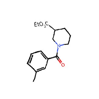 CCOC(=O)C1CCCN(C(=O)c2cccc(C)c2)C1